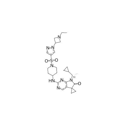 CCN1CC(n2cc(S(=O)(=O)N3CCC(Nc4ncc5c(n4)N([C@@H](C)C4CC4)C(=O)C54CC4)CC3)cn2)C1